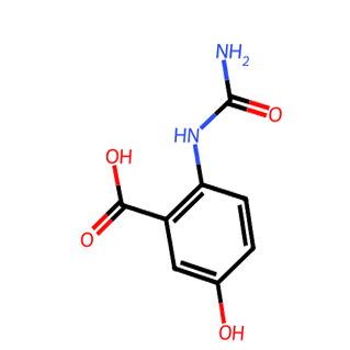 NC(=O)Nc1ccc(O)cc1C(=O)O